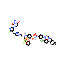 CC1(C)CCC(c2ccc(Cl)cc2)=C(CN2CCN(c3ccc(C(=O)NS(=O)(=O)c4ccc(N[C@H](CCN5CC6CCC5CN6Cc5cc(N6CCC(=O)NC6=O)cnc5F)CSc5ccccc5)c(S(=O)(=O)C(F)(F)F)c4)cc3)CC2)C1